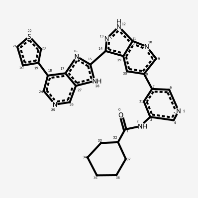 O=C(Nc1cncc(-c2cnc3[nH]nc(-c4nc5c(-c6ccsc6)cncc5[nH]4)c3c2)c1)C1CCCCC1